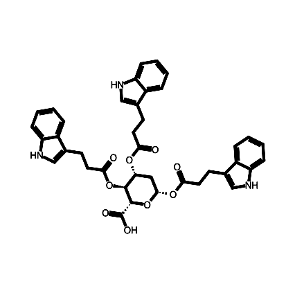 O=C(CCc1c[nH]c2ccccc12)O[C@H]1C[C@@H](OC(=O)CCc2c[nH]c3ccccc23)[C@H](OC(=O)CCc2c[nH]c3ccccc23)[C@@H](C(=O)O)O1